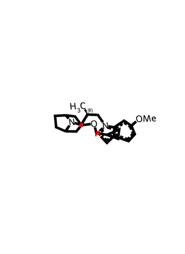 COc1ccc2cnn(C[C@H](C)CN3C4CCC3CC(OCC3CC3)C4)c2c1